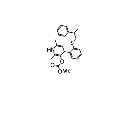 COC(=O)OC1=C(C)NC(C)=CC1c1ccccc1SCC(C)c1ccccc1